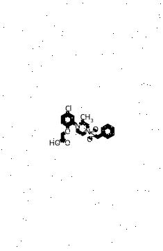 CC1CN(S(=O)(=O)Cc2ccccc2)CCN1c1cc(Cl)ccc1OCC(=O)O